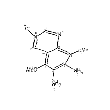 COc1c(N)c(N)c(OC)c2nc[n+]([O-])cc12